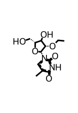 CCO[C@H]1C(O)[C@@H](CO)O[C@H]1n1cc(C)c(=O)[nH]c1=O